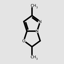 Cc1cc2n(n1)CC(C)O2